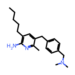 CCCCCc1cc(Cc2ccc(CN(C)C)cc2)c(C)nc1N